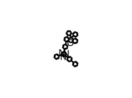 C1=CC2Oc3c(-c4ccc(-c5nc(-c6ccccc6)nc(-c6ccc(-c7ccccc7)cc6)n5)cc4)cccc3C(c3ccccc3)(c3ccccc3)C2C=C1